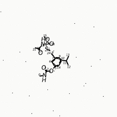 CNC(=O)Oc1cc(C)cc(C(C)C)c1.COP(=O)(NC(C)=O)SC